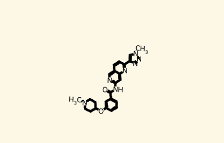 CN1CCC(Oc2cccc(C(=O)Nc3cc4nc(-c5cn(C)nn5)ccc4cn3)c2)CC1